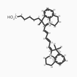 CC1(CCCCCC(=O)O)C(/C=C/C=C/C=C2/N3CCCc4cccc(c43)C2(C)C)=[N+]2CCCc3cccc1c32